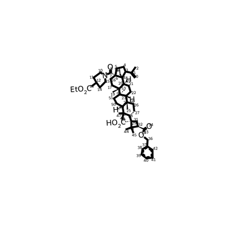 C=C(C)C1CC[C@]2(C(=O)N3CCC(C(=O)OCC)CC3)CC[C@]3(C)[C@H](CC[C@@H]4[C@]5(C)CC[C@H]([C@@]6(C(=O)O)C[C@@H](C(=O)OCc7ccccc7)C6(C)C)C(C)(C)[C@H]5CC[C@]43C)[C@@H]12